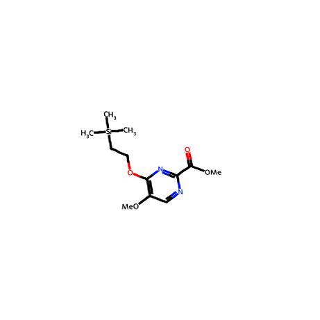 COC(=O)c1ncc(OC)c(OCC[Si](C)(C)C)n1